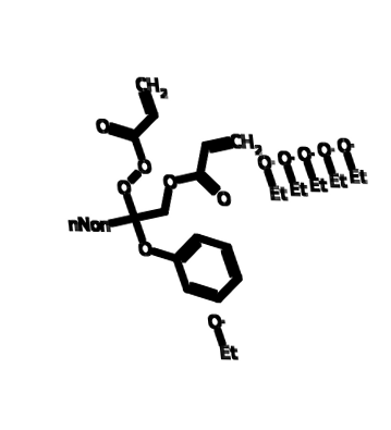 C=CC(=O)OCC(CCCCCCCCC)(OOC(=O)C=C)Oc1ccccc1.[CH2]C[O].[CH2]C[O].[CH2]C[O].[CH2]C[O].[CH2]C[O].[CH2]C[O]